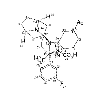 CC(=O)N1CCc2nc(C)n([C@H]3C[C@H]4CC[C@@H](C3)N4CC[C@H](NC(=O)O)c3cccc(F)c3)c2C1